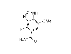 COc1cc(C(N)=O)c(F)c2nc[nH]c12